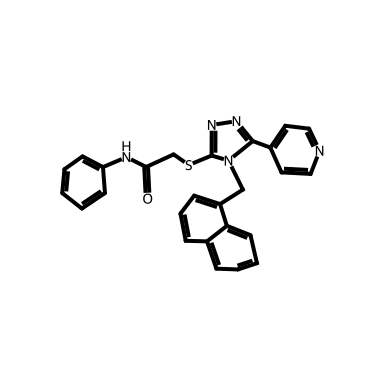 O=C(CSc1nnc(-c2ccncc2)n1Cc1cccc2ccccc12)Nc1ccccc1